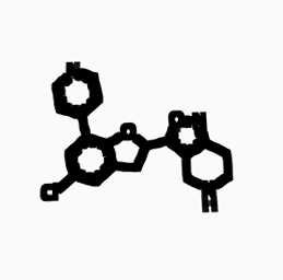 Clc1cc2c(c(-c3ccncc3)c1)OC(c1onc3c1CNCC3)C2